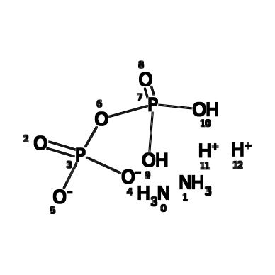 N.N.O=P([O-])([O-])OP(=O)(O)O.[H+].[H+]